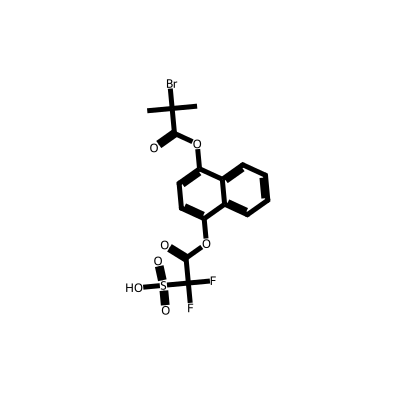 CC(C)(Br)C(=O)Oc1ccc(OC(=O)C(F)(F)S(=O)(=O)O)c2ccccc12